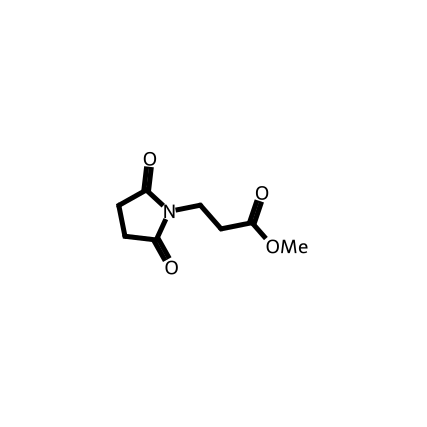 COC(=O)CCN1C(=O)CCC1=O